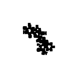 CC(C)OC(=O)[C@H](C)N[P@](=O)(Oc1ccccc1)OC(C)(C)[C@H]1O[C@@H](n2cc(F)c(=O)[nH]c2=O)[C@@](F)(CF)C1O